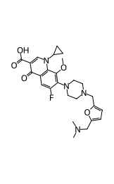 COc1c(N2CCN(Cc3ccc(CN(C)C)o3)CC2)c(F)cc2c(=O)c(C(=O)O)cn(C3CC3)c12